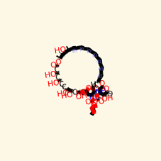 C=CCOC(=O)N[C@@H]1[C@H](O)[C@H](O[C@H]2/C=C/C=C/C=C/C=C/C=C/C=C/C=C/[C@H](C)[C@@H](O)[C@@H](C)[C@H](C)OC(=O)C[C@H](O)C[C@H](O)CC[C@@H](O)[C@H](O)C[C@H](O)C[C@]3(O)C[C@H](OC(=O)OCC=C)[C@@H](NC=O)[C@H](C2)O3)O[C@H](C)[C@H]1O